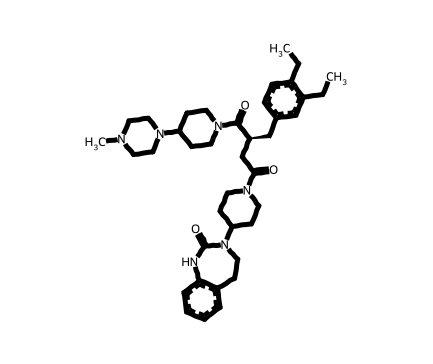 CCc1ccc(C[C@@H](CC(=O)N2CCC(N3CCc4ccccc4NC3=O)CC2)C(=O)N2CCC(N3CCN(C)CC3)CC2)cc1CC